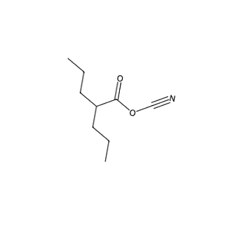 CCCC(CCC)C(=O)OC#N